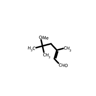 COC(C)(C)CC(C)=CC=O